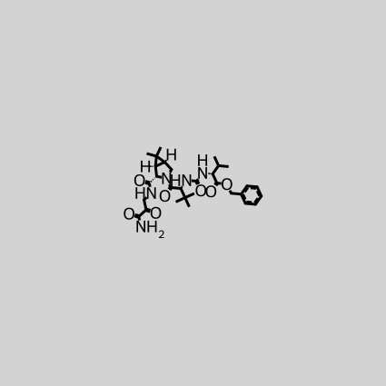 CC(C)[C@@H](NC(=O)N[C@H](C(=O)N1C[C@H]2[C@@H]([C@H]1C(=O)NCC(=O)C(N)=O)C2(C)C)C(C)(C)C)C(=O)OCc1ccccc1